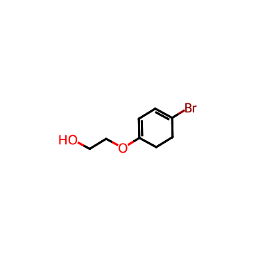 OCCOC1=CC=C(Br)CC1